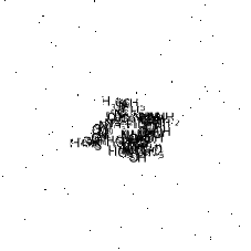 CC(CN1c2ccccc2Sc2ccccc21)N(C)C.CN[C@@H]1[C@H](O[C@H]2[C@H](O[C@H]3[C@H](O)[C@@H](O)[C@H](NC(=N)N)[C@@H](O)[C@@H]3NC(=N)N)O[C@@H](C)[C@]2(O)C=O)O[C@@H](CO)[C@H](O)[C@H]1O.Nc1ccn([C@H]2CS[C@@H](CO)O2)c(=O)n1